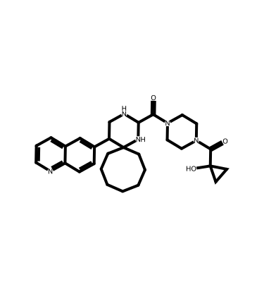 O=C(C1NCC(c2ccc3ncccc3c2)C2(CCCCCCC2)N1)N1CCN(C(=O)C2(O)CC2)CC1